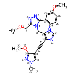 COCc1nnc2n1Cc1c(C#Cc3cn(C)nc3OC)ncn1-c1ccc(OC)cc1-2